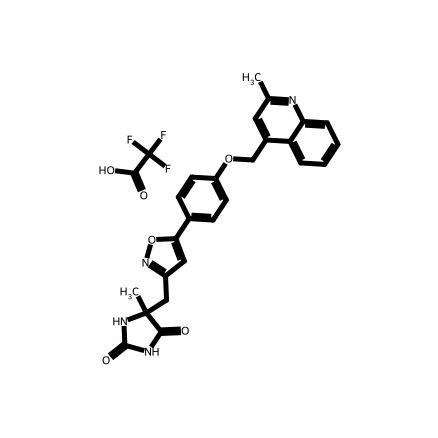 Cc1cc(COc2ccc(-c3cc(CC4(C)NC(=O)NC4=O)no3)cc2)c2ccccc2n1.O=C(O)C(F)(F)F